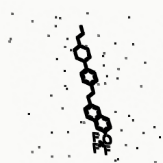 CCCC1CCC(c2ccc(CCc3ccc4cc(OC(F)(F)F)ccc4c3)cc2)CC1